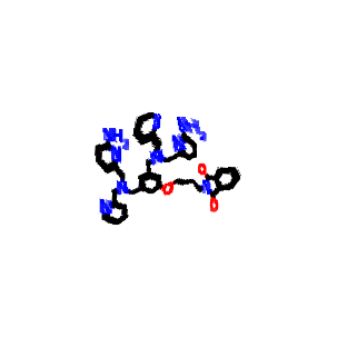 Nc1cccc(CN(Cc2cc(CN(Cc3ccccn3)Cc3cccc(N)n3)cc(OCCCCN3C(=O)c4ccccc4C3=O)c2)Cc2ccccn2)n1